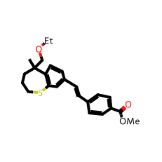 CCOCC1(C)CCCSc2cc(C=Cc3ccc(C(=O)OC)cc3)ccc21